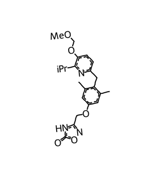 COCOc1ccc(Cc2c(C)cc(OCc3noc(=O)[nH]3)cc2C)nc1C(C)C